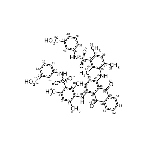 Cc1cc(C)c(S(=O)(=O)Nc2cccc(C(=O)O)c2)c(C)c1Nc1ccc(Nc2c(C)cc(C)c(S(=O)(=O)Nc3cccc(C(=O)O)c3)c2C)c2c1C(=O)c1ccccc1C2=O